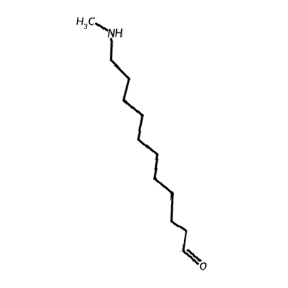 CNCCCCCCCCCC[C]=O